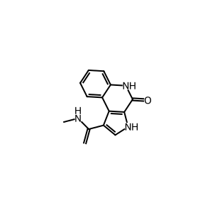 C=C(NC)c1c[nH]c2c(=O)[nH]c3ccccc3c12